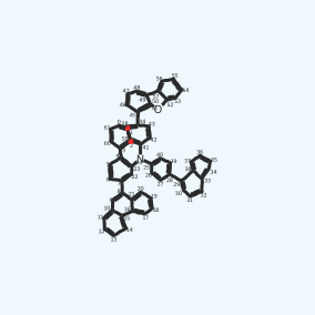 c1ccc(-c2ccc(-c3cc4ccccc4c4ccccc34)cc2N(c2ccc(-c3cccc4ccccc34)cc2)c2ccc(-c3cccc4c3oc3ccccc34)cc2)cc1